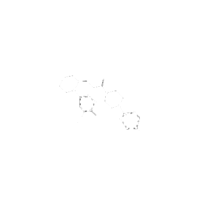 O=C(CC[C@@H]1COCCN1c1cc(C(F)(F)F)c(=O)[nH]n1)N1CCN(c2ncc(C(F)(F)F)cn2)CC1